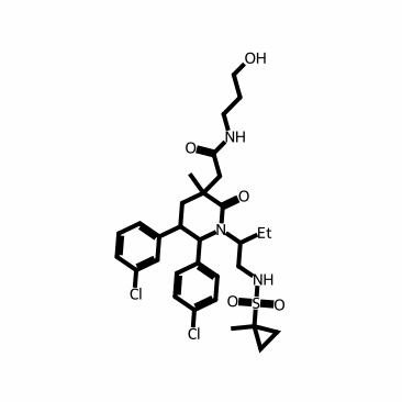 CCC(CNS(=O)(=O)C1(C)CC1)N1C(=O)C(C)(CC(=O)NCCCO)CC(c2cccc(Cl)c2)C1c1ccc(Cl)cc1